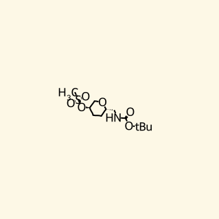 CC(C)(C)OC(=O)NC[C@@H]1CC[C@@H](OS(C)(=O)=O)CO1